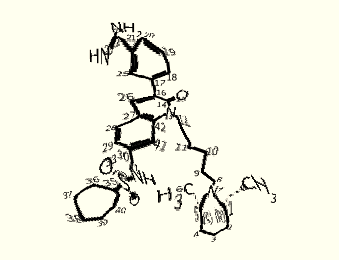 C[C@@H]1CCC[C@H](C)N1CCCCCn1c(=O)c(-c2cccc(C(=N)N)c2)cc2ccc(NS(=O)(=O)C3CCCCC3)cc21